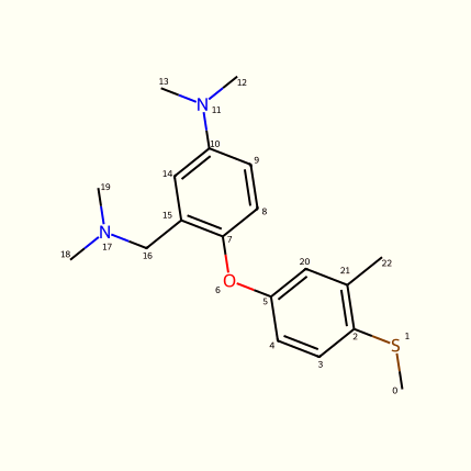 CSc1ccc(Oc2ccc(N(C)C)cc2CN(C)C)cc1C